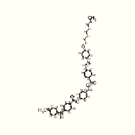 CCCCCCCCOc1ccc(/N=C/c2ccc(C(=O)OCc3ccc(OC(=O)c4ccc(Nc5ccc(C)cc5)cc4)cc3)cc2)cc1